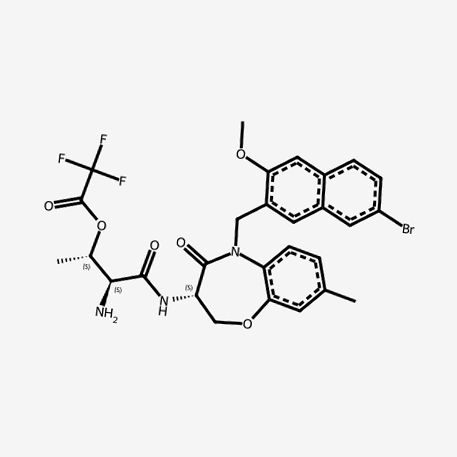 COc1cc2ccc(Br)cc2cc1CN1C(=O)[C@@H](NC(=O)[C@@H](N)[C@H](C)OC(=O)C(F)(F)F)COc2cc(C)ccc21